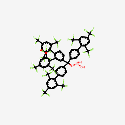 OB(O)OC(c1ccc(-c2c(C(F)(F)F)cc(C(F)(F)F)cc2C(F)(F)F)cc1)(c1ccc(-c2c(C(F)(F)F)cc(C(F)(F)F)cc2C(F)(F)F)cc1)c1ccc(-c2c(C(F)(F)F)cc(C(F)(F)F)cc2C(F)(F)F)c(-c2c(C(F)(F)F)cc(C(F)(F)F)cc2C(F)(F)F)c1